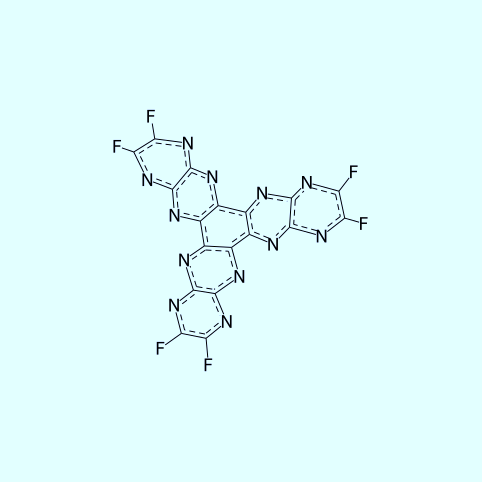 Fc1nc2nc3c4nc5nc(F)c(F)nc5nc4c4nc5nc(F)c(F)nc5nc4c3nc2nc1F